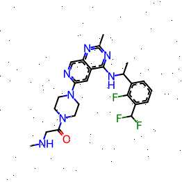 CNCC(=O)N1CCN(c2cc3c(NC(C)c4cccc(C(F)F)c4F)nc(C)nc3cn2)CC1